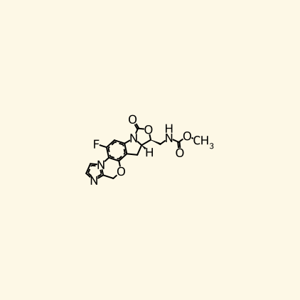 COC(=O)NC[C@@H]1OC(=O)N2c3cc(F)c4c(c3C[C@@H]12)OCc1nccn1-4